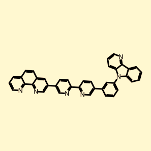 c1cc(-c2ccc(-c3ccc(-c4cnc5c(ccc6cccnc65)c4)cn3)nc2)cc(-n2c3ccccc3c3ncccc32)c1